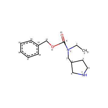 CCN(CC1CCNC1)C(=O)OCc1ccccc1